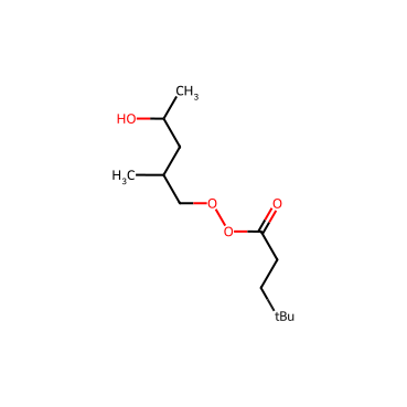 CC(O)CC(C)COOC(=O)CCC(C)(C)C